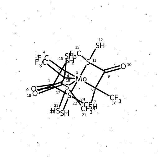 O=C1[C](S)(C(F)(F)F)[Mo]23([C](S)(C(F)(F)F)C(=O)[S]2(S)C(F)(F)F)([C](S)(C(F)(F)F)C(=O)[S]3(S)C(F)(F)F)[S]1(S)C(F)(F)F